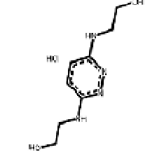 Cl.OCCNc1ccc(NCCO)nn1